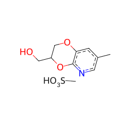 CS(=O)(=O)O.Cc1cnc2c(c1)OCC(CO)O2